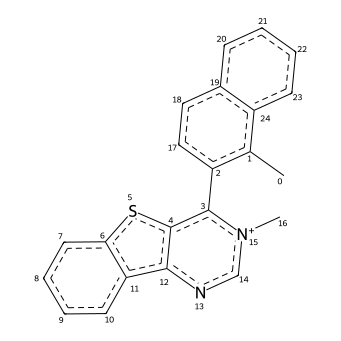 Cc1c(-c2c3sc4ccccc4c3nc[n+]2C)ccc2ccccc12